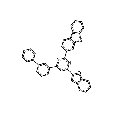 c1ccc(-c2cccc(-c3cc(-c4cc5ccccc5o4)nc(-c4ccc5c(c4)sc4ccccc45)n3)c2)cc1